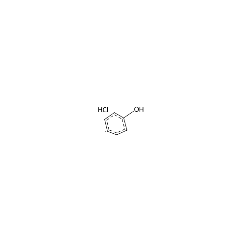 Cl.Oc1cc[c]cc1